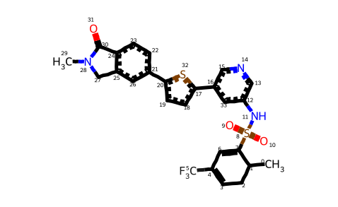 CC1CC=C(C(F)(F)F)C=C1S(=O)(=O)Nc1cncc(-c2ccc(-c3ccc4c(c3)CN(C)C4=O)s2)c1